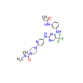 C=CC(=O)Nc1cccc(Nc2nc(Nc3ccc(N4CCN(C(=O)N(C)C)CC4)nc3)ncc2C(F)(F)F)c1